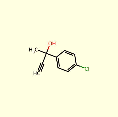 C#CC(C)(O)c1ccc(Cl)cc1